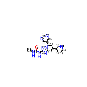 CCNC(=O)Nc1nc2cc(-c3cccnc3)cc(-c3cncnc3)n2n1